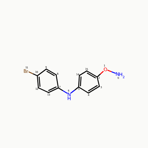 NOc1ccc(Nc2ccc(Br)cc2)cc1